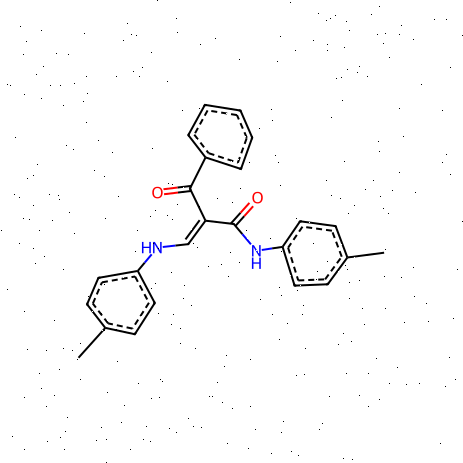 Cc1ccc(N/C=C(/C(=O)Nc2ccc(C)cc2)C(=O)c2ccccc2)cc1